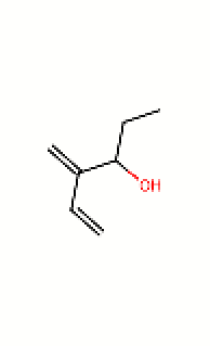 C=CC(=C)C(O)CC